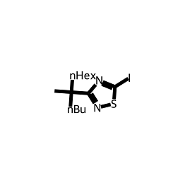 CCCCCCC(C)(CCCC)c1nsc(I)n1